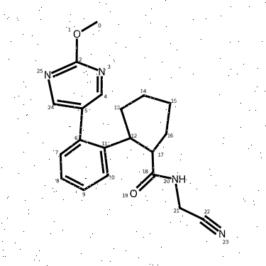 COc1ncc(-c2ccccc2C2CCCCC2C(=O)NCC#N)cn1